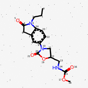 CCCN1C(=O)Cc2cc(N3CC(CNC(=O)OC)OC3=O)ccc21